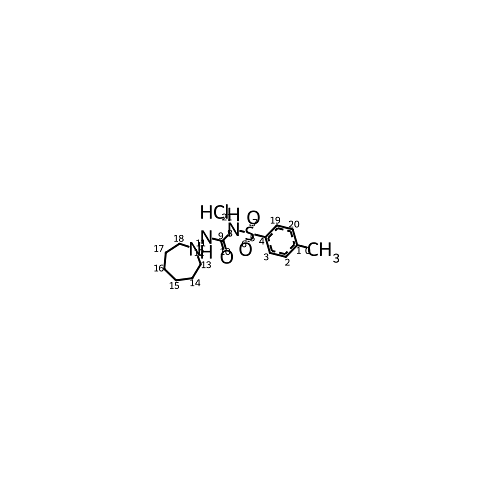 Cc1ccc(S(=O)(=O)NC(=O)NN2CCCCCC2)cc1.Cl